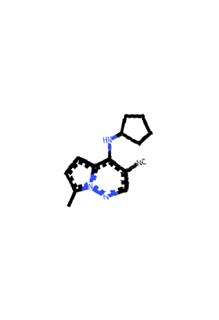 [C-]#[N+]c1cnn2c(C)ccc2c1NC1CCCC1